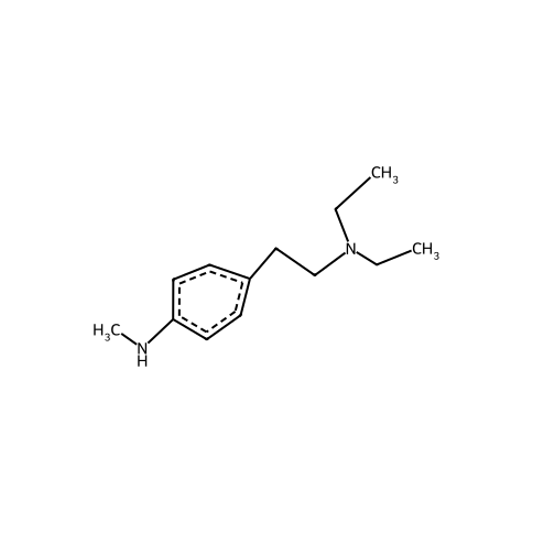 CCN(CC)CCc1ccc(NC)cc1